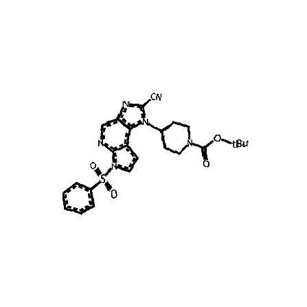 CC(C)(C)OC(=O)N1CCC(n2c(C#N)nc3cnc4c(ccn4S(=O)(=O)c4ccccc4)c32)CC1